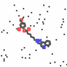 COc1ccc(OC(=O)CCCCCNCc2cnc3ccccc3c2)c(OC)c1